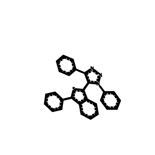 c1ccc(-c2nnn(-c3ccccc3)c2-c2sc(-c3ccccc3)c3ccccc23)cc1